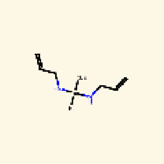 C=CCN[Si](CC)(NCC=C)C(C)(C)C